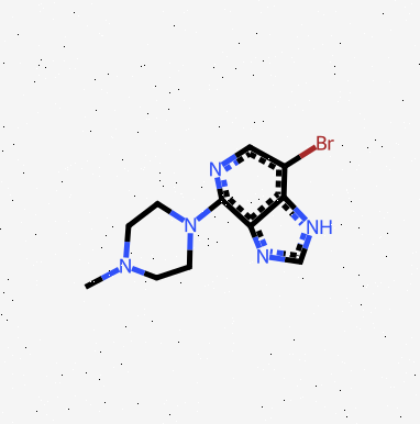 CN1CCN(c2ncc(Br)c3[nH]cnc23)CC1